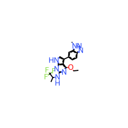 CCOc1nc(NC(C)C(F)(F)F)nc2[nH]cc(-c3ccc4nnn(C)c4c3)c12